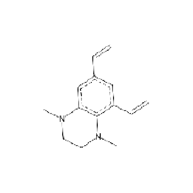 C=Cc1cc(C=C)c2c(c1)N(C)CCN2C